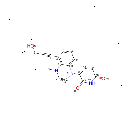 CN(C)c1c(C#CCO)cccc1N(C=O)C1CCC(=O)NC1=O